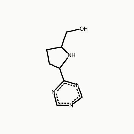 OCC1CCC(c2ncncn2)N1